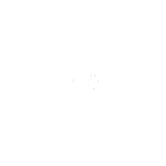 Br.Br.C.[AlH3]